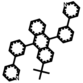 CC(C)(C)c1ccc2c(-c3cccc(-c4cccnc4)c3)c3ccccc3c(-c3cccc(-c4cccnc4)c3)c2c1